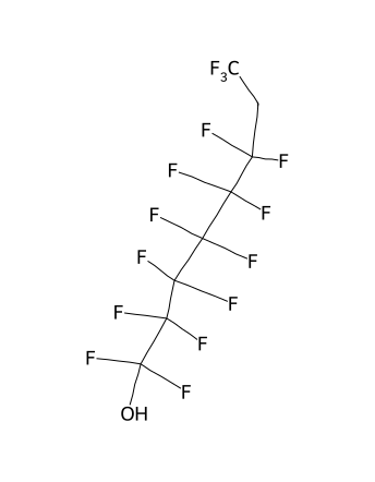 OC(F)(F)C(F)(F)C(F)(F)C(F)(F)C(F)(F)C(F)(F)CC(F)(F)F